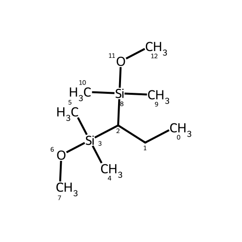 CCC([Si](C)(C)OC)[Si](C)(C)OC